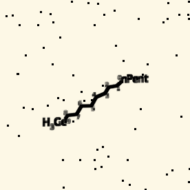 CCCCCCCCCCCC[CH2][GeH3]